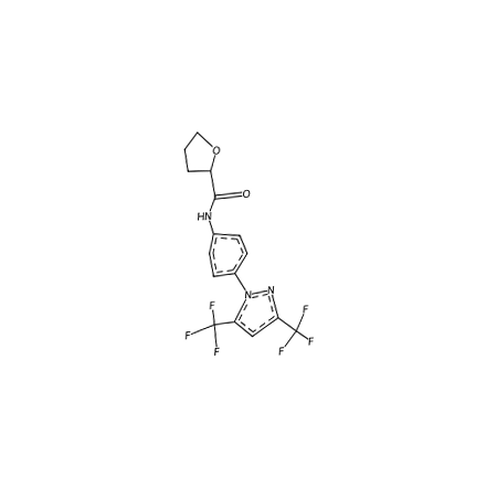 O=C(Nc1ccc(-n2nc(C(F)(F)F)cc2C(F)(F)F)cc1)C1CCCO1